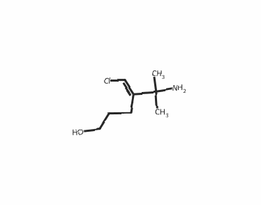 CC(C)(N)C(=CCl)CCCO